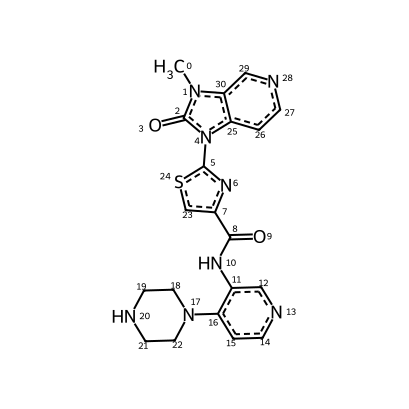 Cn1c(=O)n(-c2nc(C(=O)Nc3cnccc3N3CCNCC3)cs2)c2ccncc21